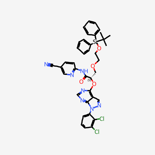 CC(C)(C)[Si](OCCOC[C@H](Oc1ncnc2c1cnn2-c1cccc(Cl)c1Cl)C(=O)Nc1ccc(C#N)cn1)(c1ccccc1)c1ccccc1